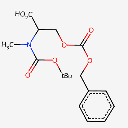 CN(C(=O)OC(C)(C)C)C(COC(=O)OCc1ccccc1)C(=O)O